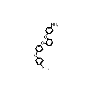 Nc1ccc(Oc2ccc(Oc3ccccc3Oc3ccc(N)cc3)cc2)cc1